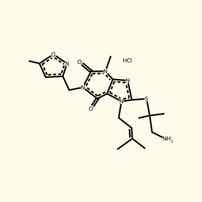 CC(C)=CCn1c(SC(C)(C)CN)nc2c1c(=O)n(Cc1cc(C)on1)c(=O)n2C.Cl